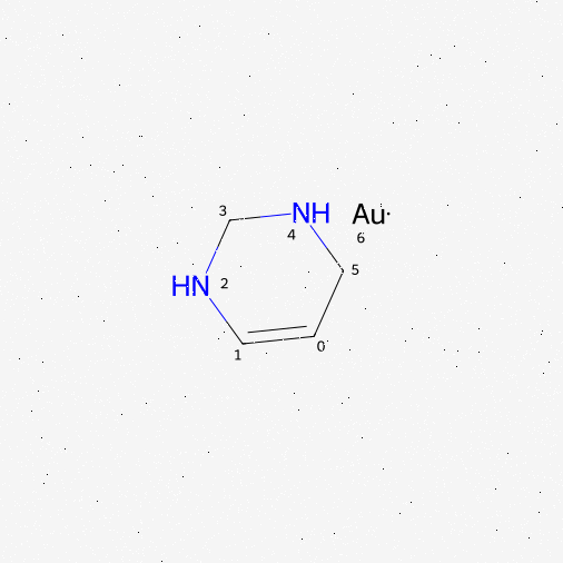 C1=CNCNC1.[Au]